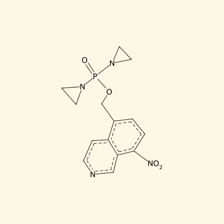 O=[N+]([O-])c1ccc(COP(=O)(N2CC2)N2CC2)c2ccncc12